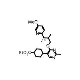 CCOC(=O)C1CCC(c2cnc(C)nc2OCC(C)[C@H](C)c2ccc(OC)cn2)CC1